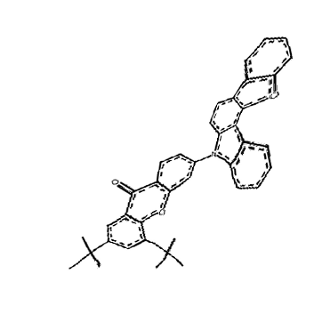 CC(C)(C)c1cc(C(C)(C)C)c2oc3cc(-n4c5ccccc5c5c6oc7ccccc7c6ccc54)ccc3c(=O)c2c1